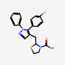 CCCC(=O)N1CCSC1Cc1cnn(-c2ccccc2)c1-c1ccc(Cl)cc1